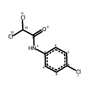 O=C(Nc1ccc(Cl)cc1)C(Cl)Cl